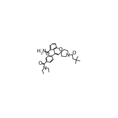 CCN(CC)C(=O)c1ccc(C2=CC3(CCN(C(=O)CC(C)(C)C)CC3)Oc3cccc(C(N)=O)c32)cc1